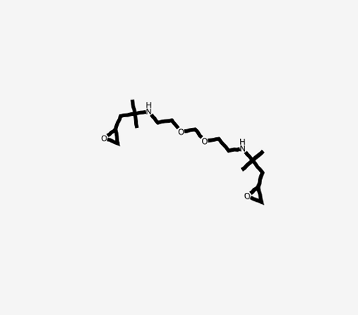 CC(C)(CC1CO1)NCCOCOCCNC(C)(C)CC1CO1